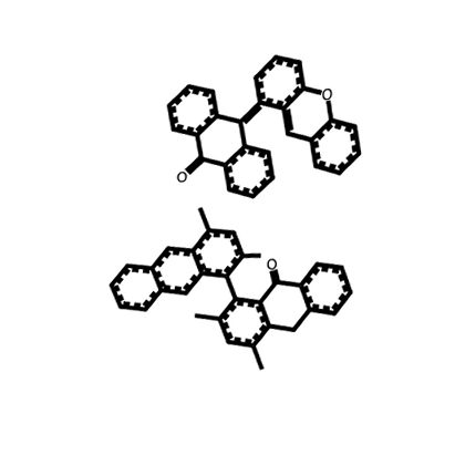 Cc1cc(C)c(-c2c(C)cc(C)c3cc4ccccc4cc23)c2c1Cc1ccccc1C2=O.O=C1c2ccccc2C(=c2cccc3c2=Cc2ccccc2O3)c2ccccc21